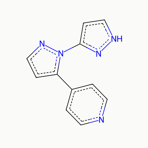 c1cc(-c2ccnn2-c2cc[nH]n2)ccn1